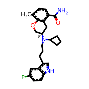 Cc1ccc(C(N)=O)c2c1OC[C@H](N(CCCc1c[nH]c3ccc(F)cc13)C1CCC1)C2